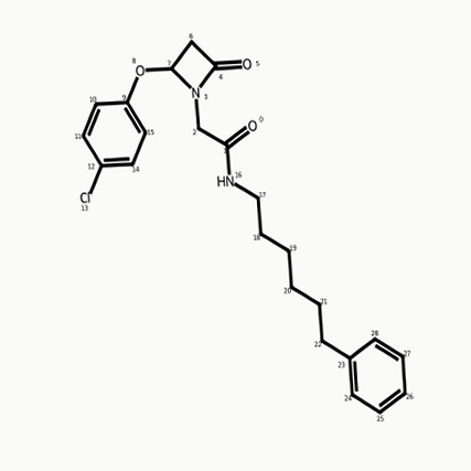 O=C(CN1C(=O)CC1Oc1ccc(Cl)cc1)NCCCCCCc1ccccc1